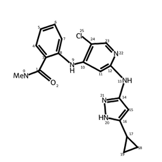 CNC(=O)c1ccccc1Nc1cc(Nc2cc(C3CC3)[nH]n2)ncc1Cl